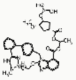 CCOc1nc2cccc(C(=O)OC(C)OC(=O)[C@@H]3C[C@H](OC)[C@@H](ON(O)O)C3)c2n1Cc1ccc(-c2ccccc2C2=NNN(C)N2)cc1